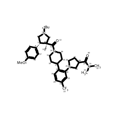 COc1ccc([C@@H]2CN(C(C)(C)C)C[C@@]2(F)C(=O)N2CCC(c3ccc(C(F)(F)F)cc3N3CCC(C(=O)N(C)C)C3)CC2)cc1